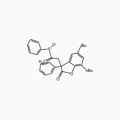 C=C(CC1(c2ccccc2)C(=O)Oc2c(CCCC)cc(C(C)CC)cc21)[S+]([O-])c1ccccc1